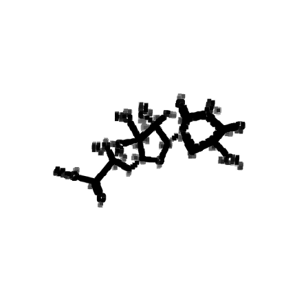 COC(=O)C(N)C[C@H]1O[C@@H](n2cc(C)c(=O)[nH]c2=O)[C@](C)(F)[C@@]1(C)O